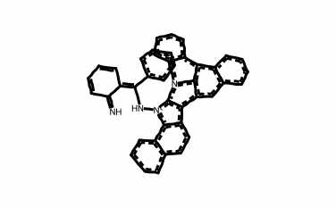 N=C1C=CC=C/C1=C(/Nn1c2c3ccccc3ccc2c2c3cc4ccccc4c4c5ccccc5n(c34)c21)c1ccccc1